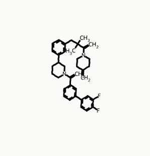 C=C1CCN(C(=C)C(C)(C)Cc2cccc(C3CCCN(C(=C)c4cccc(-c5ccc(F)c(F)c5)c4)C3)c2)CC1